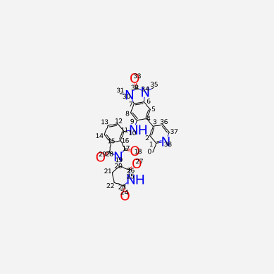 Cc1cc(-c2cc3c(cc2Nc2cccc4c2C(=O)N([C@H]2CCC(=O)NC2=O)C4=O)n(C)c(=O)n3C)ccn1